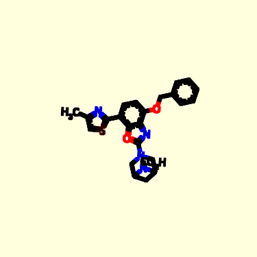 Cc1csc(-c2ccc(OCc3ccccc3)c3nc(N4CC5CC(C4)N5C(=O)O)oc23)n1